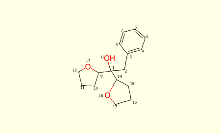 OC(Cc1ccccc1)(C1CCCO1)C1CCCO1